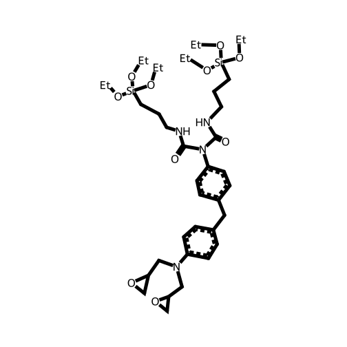 CCO[Si](CCCNC(=O)N(C(=O)NCCC[Si](OCC)(OCC)OCC)c1ccc(Cc2ccc(N(CC3CO3)CC3CO3)cc2)cc1)(OCC)OCC